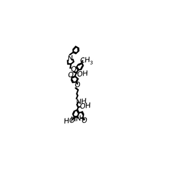 Cc1ccc(C(O)(C(=O)OCC2CCN(Cc3ccccc3)CC2)c2cccc(OCCCCCNCC(O)c3ccc(O)c4[nH]c(=O)ccc34)c2)cc1